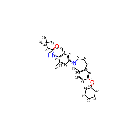 Cc1cc(N2CCCc3cc(OC4CCCCC4)ccc3C2)cc(C)c1NC(=O)CC(C)(C)C